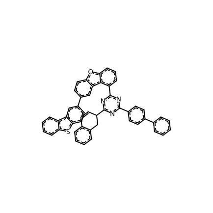 C1=CC(c2nc(-c3ccc(-c4ccccc4)cc3)nc(-c3cccc4oc5ccc(-c6ccc7sc8ccccc8c7c6)cc5c34)n2)Cc2ccccc21